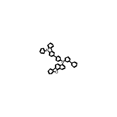 c1ccc(-c2cccc(N(c3ccc(-c4ccc5c(c4)c4ccccc4n5-c4ccccc4)cc3)c3cccc4c3ccc3c5ccccc5oc43)c2)cc1